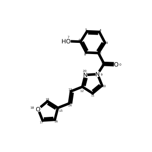 O=C(c1cccc(O)c1)n1ccc(/C=C/c2ccoc2)n1